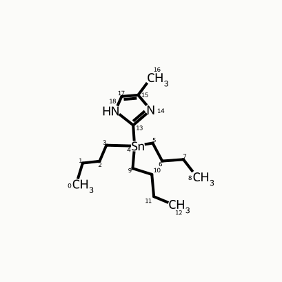 CCC[CH2][Sn]([CH2]CCC)([CH2]CCC)[c]1nc(C)c[nH]1